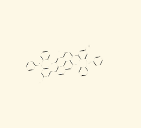 Cc1cc2c3c(cc4c(C)cc5c6c(cc1c3c46)B1c3ccccc3N(c3ccccc3)c3cc(Br)cc-5c31)B1c3ccccc3N(c3ccccc3)c3cc(Br)cc-2c31